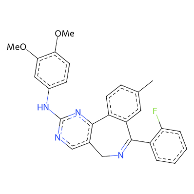 COc1ccc(Nc2ncc3c(n2)-c2ccc(C)cc2C(c2ccccc2F)=NC3)cc1OC